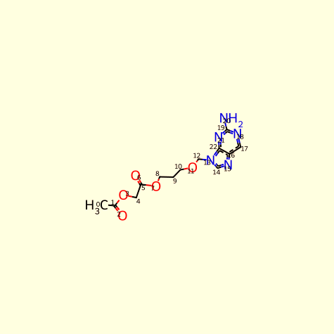 CC(=O)OCC(=O)OCCCOCn1cnc2cnc(N)nc21